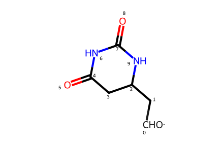 O=[C]CC1CC(=O)NC(=O)N1